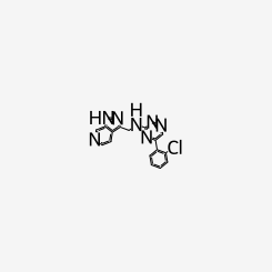 Clc1ccccc1-c1cnnc(NCc2n[nH]c3cnccc23)n1